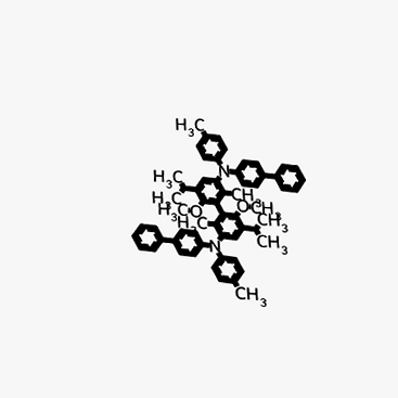 COc1c(C(C)C)cc(N(c2ccc(C)cc2)c2ccc(-c3ccccc3)cc2)c(C)c1-c1c(C)c(N(c2ccc(C)cc2)c2ccc(-c3ccccc3)cc2)cc(C(C)C)c1OC